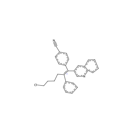 N#Cc1ccc(/C(=C(\CCCCCl)c2ccccc2)c2cnc3ccccc3c2)cc1